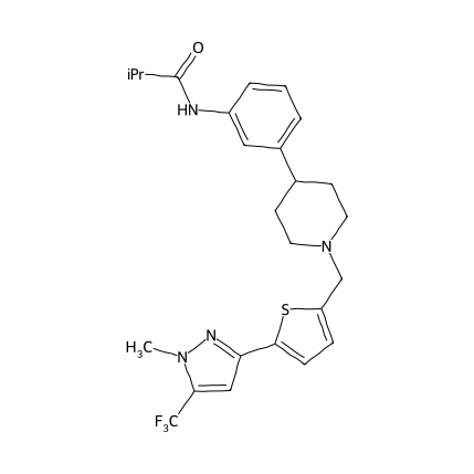 CC(C)C(=O)Nc1cccc(C2CCN(Cc3ccc(-c4cc(C(F)(F)F)n(C)n4)s3)CC2)c1